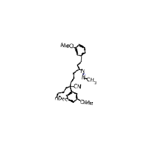 CCCCCCCCCCCCCC(C#N)(CCCC(CCc1cccc(OC)c1)/N=N/C)c1cccc(OC)c1